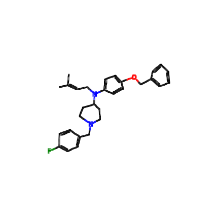 CC(C)=CCN(c1ccc(OCc2ccccc2)cc1)C1CCN(Cc2ccc(F)cc2)CC1